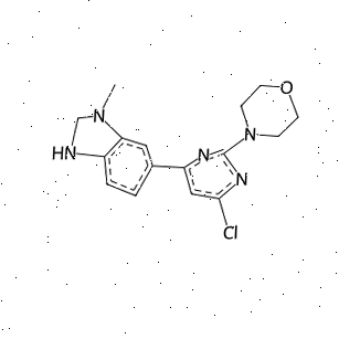 CN1CNc2ccc(-c3cc(Cl)nc(N4CCOCC4)n3)cc21